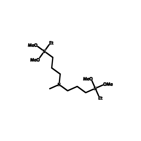 CC[Si](CCCN(C)CCC[Si](CC)(OC)OC)(OC)OC